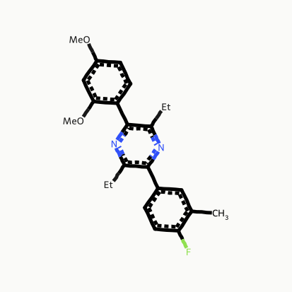 CCc1nc(-c2ccc(OC)cc2OC)c(CC)nc1-c1ccc(F)c(C)c1